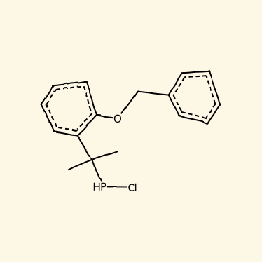 CC(C)(PCl)c1ccccc1OCc1ccccc1